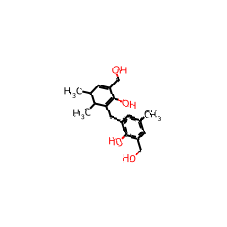 Cc1cc(CO)c(O)c(CC2=C(O)C(CO)=CC(C)C2C)c1